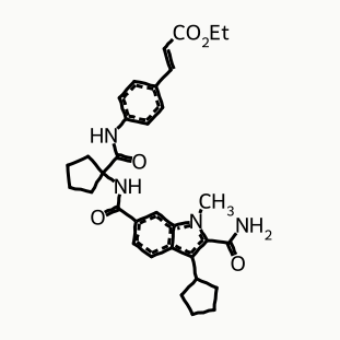 CCOC(=O)/C=C/c1ccc(NC(=O)C2(NC(=O)c3ccc4c(C5CCCC5)c(C(N)=O)n(C)c4c3)CCCC2)cc1